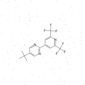 CC(C)(C)c1cnc(-c2cc(C(F)(F)F)nc(C(F)(F)F)c2)nc1